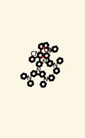 N#Cc1ccccc1-c1ccc(-c2ccc(-n3c4ccc(N(c5ccccc5)c5ccccc5)cc4c4cc(N(c5ccccc5)c5ccccc5)ccc43)cc2-n2c3ccc(N(c4ccccc4)c4ccccc4)cc3c3cc(N(c4ccccc4)c4ccccc4)ccc32)c(-c2ccccc2C#N)c1